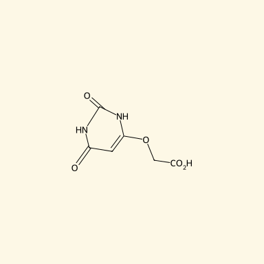 O=C(O)COc1cc(=O)[nH]c(=O)[nH]1